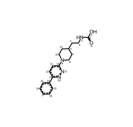 O=C(O)NCCC1CCN(c2ccc(-c3ccccc3)nn2)CC1